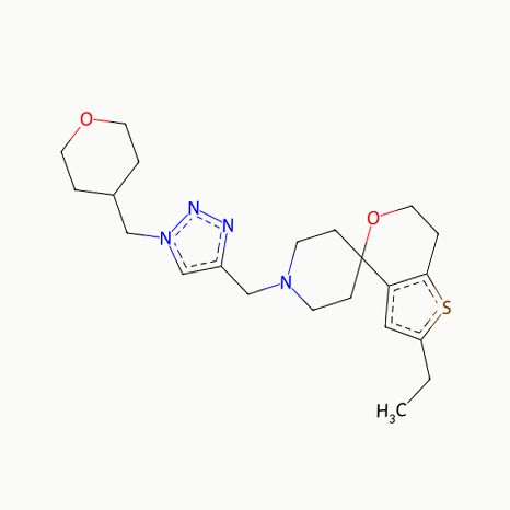 CCc1cc2c(s1)CCOC21CCN(Cc2cn(CC3CCOCC3)nn2)CC1